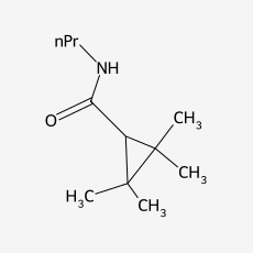 CCCNC(=O)C1C(C)(C)C1(C)C